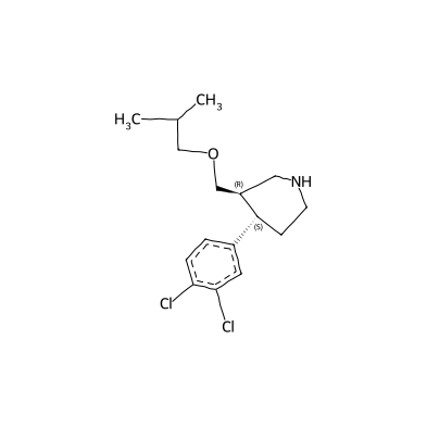 CC(C)COC[C@H]1CNCC[C@@H]1c1ccc(Cl)c(Cl)c1